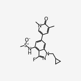 Cc1cc(-c2cc(N[S+](C)[O-])c3c(F)nn(CC4CC4)c3c2)cn(C)c1=O